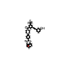 CN(CC12CC3CC(CC(C3)C1)C2)C(=O)c1ccc(N2CCN(C(=O)c3cc(C#Cc4cccc(O)c4)cc(C(F)(F)F)c3)CC2)cc1